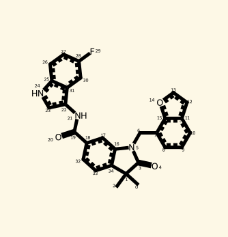 CC1(C)C(=O)N(Cc2cccc3ccoc23)c2cc(C(=O)Nc3c[nH]c4ccc(F)cc34)ccc21